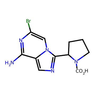 Nc1nc(Br)cn2c(C3CCCN3C(=O)O)ncc12